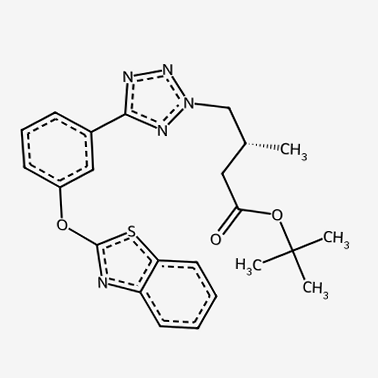 C[C@H](CC(=O)OC(C)(C)C)Cn1nnc(-c2cccc(Oc3nc4ccccc4s3)c2)n1